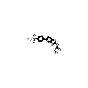 CC(C)OC(=O)Oc1nc2ccc(-c3ccc(S(C)(=O)=O)cc3)nc2s1